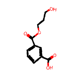 O=C(O)c1cccc(C(=O)OCCCO)c1